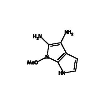 COn1c(N)c(N)c2cc[nH]c21